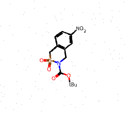 CC(C)(C)OC(=O)N1Cc2cc([N+](=O)[O-])ccc2CS1(=O)=O